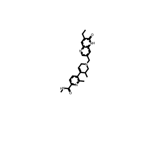 CCc1cc2ncc(CN3CC=C(c4ccc(C(=O)NC)nc4C)C(C)C3)cc2[nH]c1=O